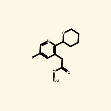 CC(C)(C)OC(=O)Cc1cc(I)cnc1C1CCCCO1